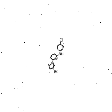 Clc1ccc(Nc2cccc(-n3cc(Br)cn3)n2)cc1